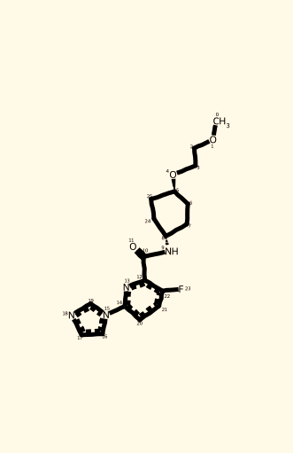 COCCO[C@H]1CC[C@H](NC(=O)c2nc(-n3ccnc3)ccc2F)CC1